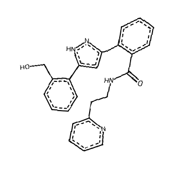 O=C(NCCc1ccccn1)c1ccccc1-c1cc(-c2ccccc2CO)[nH]n1